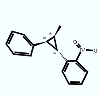 C[C@@H]1[C@H](c2ccccc2)[C@H]1c1ccccc1[N+](=O)[O-]